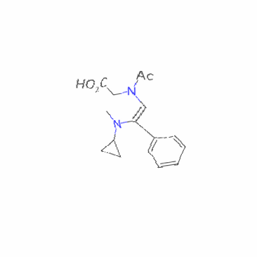 CC(=O)N(/C=C(/c1ccccc1)N(C)C1CC1)CC(=O)O